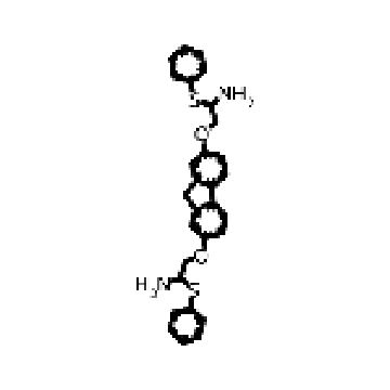 NC(COc1ccc2c(c1)Cc1cc(OCC(N)Sc3ccccc3)ccc1-2)Sc1ccccc1